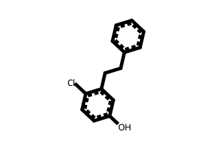 Oc1ccc(Cl)c(CCc2ccccc2)c1